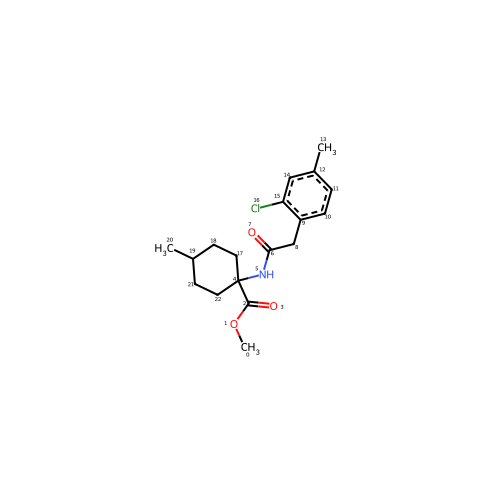 COC(=O)C1(NC(=O)Cc2ccc(C)cc2Cl)CCC(C)CC1